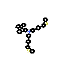 c1ccc(C2(c3ccccc3)c3ccccc3-c3cc(N(c4ccc(-c5ccc(-c6ccc7sc8ccccc8c7c6)cc5)cc4)c4ccc(-c5ccc(-c6ccc7sc8ccccc8c7c6)cc5)cc4)ccc32)cc1